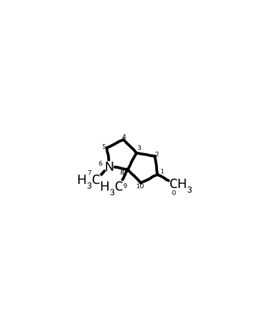 CC1CC2CCN(C)C2(C)C1